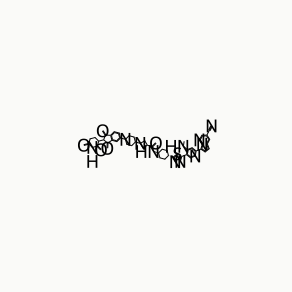 CNc1cc(-c2ccc3cc(C#N)cnn23)ncc1-c1nnc([C@H]2CC[C@H](NC(=O)C3CN(C4CCN(c5ccc6c(c5)C(=O)C(C5CCC(=O)NC5=O)C6=O)CC4)C3)CC2)s1